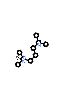 C[Si]1(C)c2ccccc2-c2nc(-c3cccc(-c4cccc(-c5cccc(-c6cc(-c7ccccc7)cc(-c7ccccc7)n6)c5)c4)c3)nc(-c3ccccc3)c21